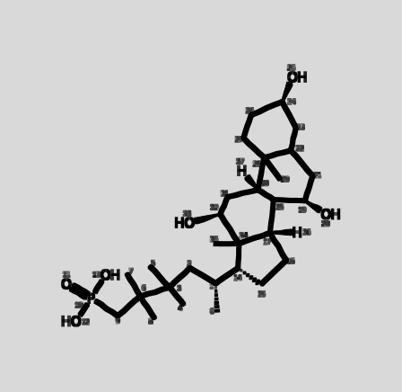 C[C@H](CC(C)(C)C(C)(C)CP(=O)(O)O)[C@H]1CC[C@H]2C3[C@H](O)CC4C[C@H](O)CCC4(C)[C@H]3C[C@H](O)C12C